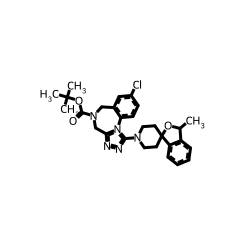 CC1OC2(CCN(c3nnc4n3-c3ccc(Cl)cc3CN(C(=O)OC(C)(C)C)C4)CC2)c2ccccc21